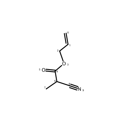 C=CCOC(=O)C(C)C#N